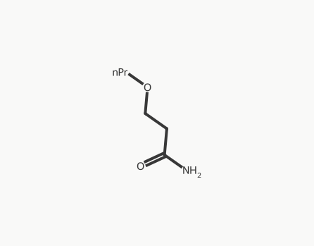 CCCOCCC(N)=O